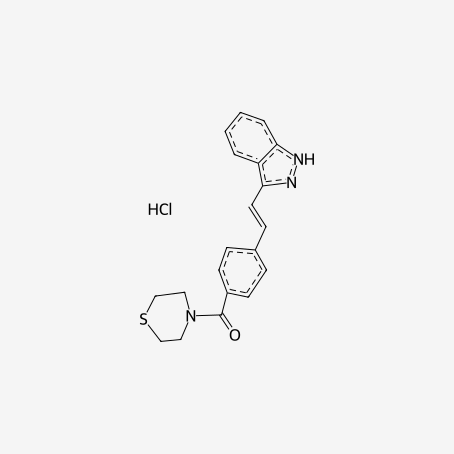 Cl.O=C(c1ccc(C=Cc2n[nH]c3ccccc23)cc1)N1CCSCC1